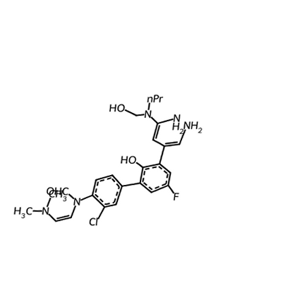 CCCN(CO)/C(N)=C/C(=C\N)c1cc(F)cc(-c2ccc(N(C=O)/C=C\N(C)C)c(Cl)c2)c1O